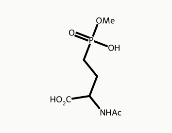 COP(=O)(O)CCC(NC(C)=O)C(=O)O